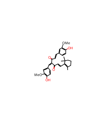 COc1cc(/C=C(\C(=O)/C=C/C2=C(C)CCCC2(C)C)C(=O)/C=C/c2ccc(O)c(OC)c2)ccc1O